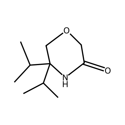 CC(C)C1(C(C)C)COCC(=O)N1